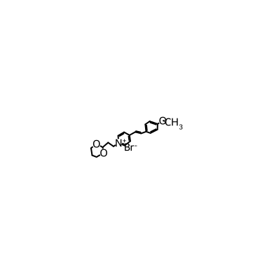 COc1ccc(C=Cc2cc[n+](CCC3OCCCO3)cc2)cc1.[Br-]